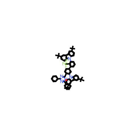 CC(C)(C)c1ccc2c(c1)c1cc(C(C)(C)C)ccc1n2-c1cc(-c2cccc(-n3c4ccc(C(C)(C)C)cc4c4cc(C(C)(C)C)ccc43)c2C(F)(F)F)ccc1-c1nc(-c2ccccc2)nc(-c2ccccc2)n1